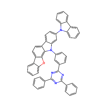 c1ccc(-c2nc(-c3ccccc3)nc(-c3cccc(-n4c5cc(-n6c7ccccc7c7ccccc76)ccc5c5ccc6c7ccccc7oc6c54)c3)n2)cc1